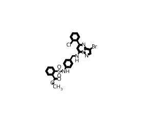 COC(=O)c1ccccc1S(=O)(=O)Nc1ccc(CNc2cc(-c3ccccc3Cl)nc3c(Br)cnn23)cc1